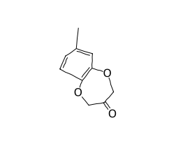 Cc1ccc2c(c1)OCC(=O)CO2